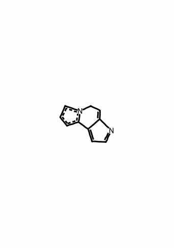 C1=NC2=CCn3cccc3C2=C1